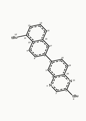 CC(C)(C)c1cnc2cc(-c3ccc4c(C(C)(C)C)cccc4c3)ccc2n1